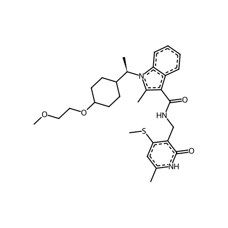 COCCOC1CCC([C@@H](C)n2c(C)c(C(=O)NCc3c(SC)cc(C)[nH]c3=O)c3ccccc32)CC1